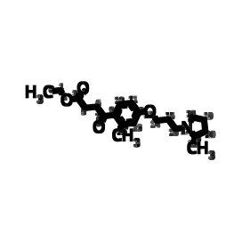 CCOC(=O)CCC(=O)c1ccc(OCCCN2CCC[C@H]2C)cc1C